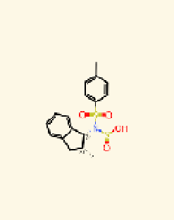 Cc1ccc(S(=O)(=O)N([C@H]2c3ccccc3C[C@H]2C)S(=O)O)cc1